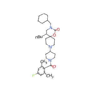 CCCCC1CN(CC2CCCCC2)C(=O)OC12CCN(C1CCN(C(=O)c3c(C)cc(F)cc3C)CC1)CC2